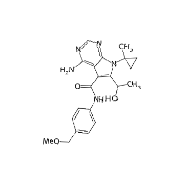 COCc1ccc(NC(=O)c2c(C(C)O)n(C3(C)CC3)c3ncnc(N)c23)cc1